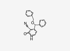 N#Cc1c(C(OCc2ccccc2)c2ccccc2)cc[nH]c1=O